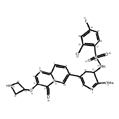 COC1=NC=C(c2ccc3ncc(OC4CNC4)c(=O)n3c2)CC1NS(=O)(=O)c1ccc(F)cc1Cl